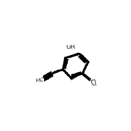 C#Cc1cccc(Cl)c1.[LiH]